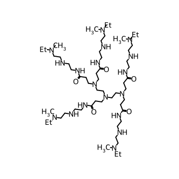 CCN(C)CCNCCNC(=O)CCN(CCC(=O)NCCNCCN(C)CC)CCN(CCC(=O)NCCNCCN(C)CC)CCN(CCC(=O)NCCNCCN(C)CC)CCC(=O)NCCNCCN(C)CC